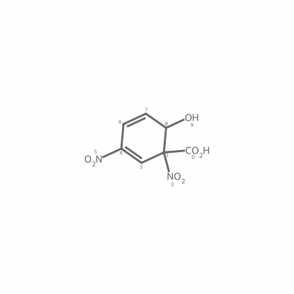 O=C(O)C1([N+](=O)[O-])C=C([N+](=O)[O-])C=CC1O